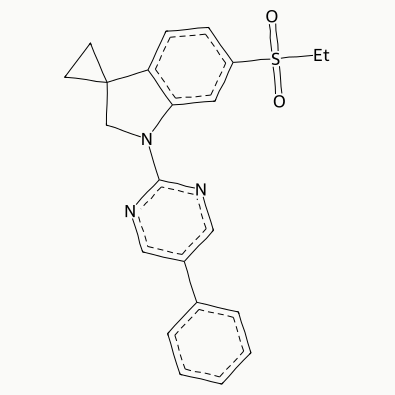 CCS(=O)(=O)c1ccc2c(c1)N(c1ncc(-c3ccccc3)cn1)CC21CC1